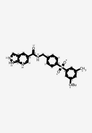 Cc1cc(OCC(C)C)cc(S(=O)(=O)c2ccc(CNC(=O)c3cnc4[nH]ncc4c3)cc2)c1